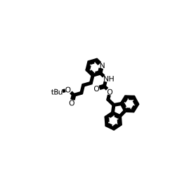 CC(C)(C)OC(=O)CCCc1cccnc1NC(=O)OCC1c2ccccc2-c2ccccc21